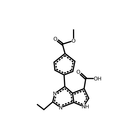 CCc1nc(-c2ccc(C(=O)OC)cc2)c2c(C(=O)O)c[nH]c2n1